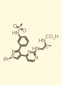 CC(C)n1cc(-c2ccnc(NC[C@H](C)NC(=O)O)n2)c(-c2cccc(NS(C)(=O)=O)c2)n1